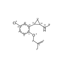 C=C(C)COc1ccc(Cl)cc1C1CC1NC